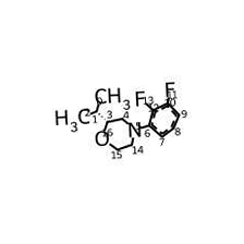 CC(C)[C@@H]1CN(c2cccc(F)c2F)CCO1